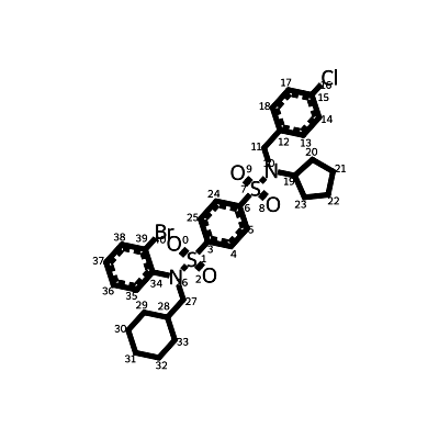 O=S(=O)(c1ccc(S(=O)(=O)N(Cc2ccc(Cl)cc2)C2CCCC2)cc1)N(CC1CCCCC1)c1ccccc1Br